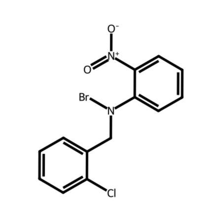 O=[N+]([O-])c1ccccc1N(Br)Cc1ccccc1Cl